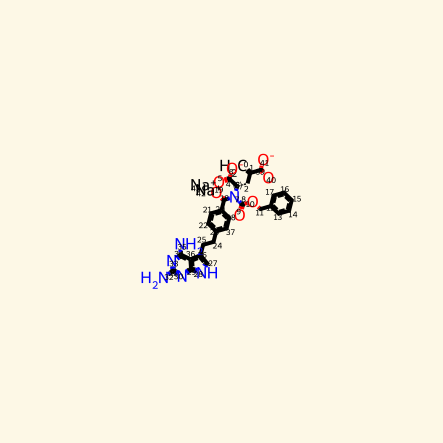 C=C(C[C@@H](C(=O)[O-])N(C(=O)OCc1ccccc1)C(=O)c1ccc(CCc2c[nH]c3nc(N)nc(N)c23)cc1)C(=O)[O-].[Na+].[Na+]